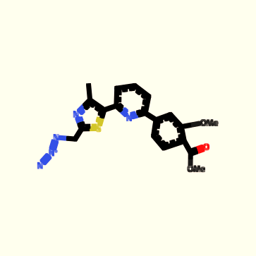 COC(=O)c1ccc(-c2cccc(-c3sc(CN=[N+]=[N-])nc3C)n2)cc1OC